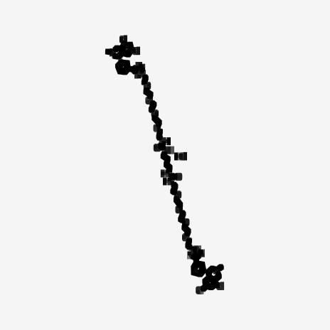 CN1Cc2c(Cl)cc(Cl)cc2[C@H](c2cccc(-c3nnn(CCOCCOCCOCCOCCNC(=O)NCCCCNC(=O)NCCOCCOCCOCCOCCn4nnc(-c5cccc([C@@H]6CN(C)Cc7c(Cl)cc(Cl)cc76)c5)n4)n3)c2)C1.Cl